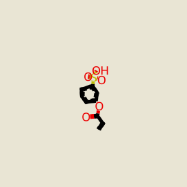 C=CC(=O)Oc1cccc(S(=O)(=O)O)c1